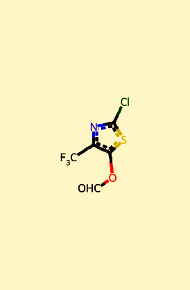 O=COc1sc(Cl)nc1C(F)(F)F